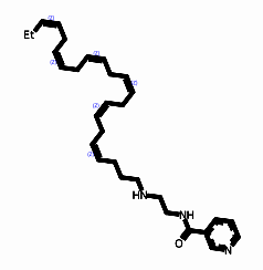 CC/C=C\C/C=C\C/C=C\C/C=C\C/C=C\C/C=C\CCCNCCNC(=O)c1cccnc1